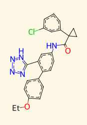 CCOc1ccc(-c2ccc(NC(=O)C3(c4cccc(Cl)c4)CC3)cc2-c2nnn[nH]2)cc1